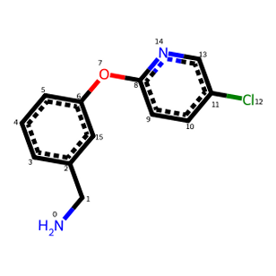 NCc1cccc(Oc2ccc(Cl)cn2)c1